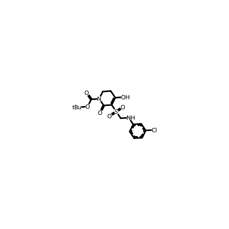 CC(C)(C)OC(=O)N1CCC(O)=C(S(=O)(=O)CNc2cccc(Cl)c2)C1=O